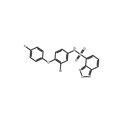 O=S(=O)(Nc1ccc(Oc2ccc(F)cc2)c(Br)c1)c1cccc2nonc12